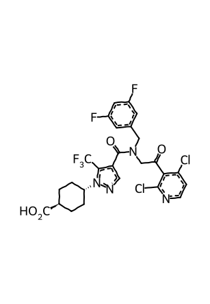 O=C(CN(Cc1cc(F)cc(F)c1)C(=O)c1cnn([C@H]2CC[C@H](C(=O)O)CC2)c1C(F)(F)F)c1c(Cl)ccnc1Cl